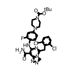 CC(C)(C)OC(=O)N1CCN(c2ccc(Nc3nc(Cc4c(Cl)cccc4Cl)n4cnnc4c3C(N)=O)c(F)c2)CC1